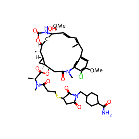 COc1cc2cc(c1Cl)N(C)C(=O)C[C@H](OC(=O)[C@H](C)N(C)C(=O)CCSC1CC(=O)N(CC3CCC(C(N)=O)CC3)C1=O)[C@@]1(C)C[C@H]1[C@H](C)[C@@H]1C[C@@](O)(NC(=O)O1)[C@H](OC)/C=C/C=C(\C)C2